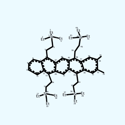 CC[Si](CC)(CC)CCc1c2ccccc2c(CC[Si](CC)(CC)CC)c2cc3c(CC[Si](CC)(CC)CC)c4cc(C)c(C)cc4c(CC[Si](CC)(CC)CC)c3cc12